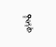 O=C(N[C@@H]1C[C@@H]2CCN(C2)C1)c1ncc(-c2ccccc2O)o1